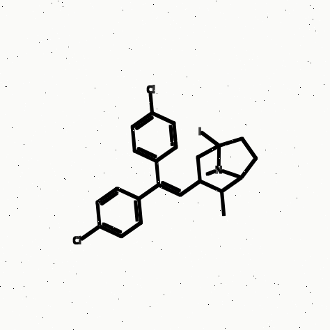 CC1C(C=C(c2ccc(Cl)cc2)c2ccc(Cl)cc2)CC2(I)CCC1N2C